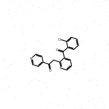 O=C(Cc1ncccc1C(=O)c1ccccc1Cl)c1ccncc1